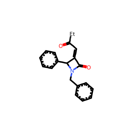 CCC(=O)/C=C1/C(=O)N(Cc2ccccc2)C1c1ccccc1